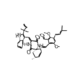 C=CC(C)(C)c1[nH]c2ccccc2c1/C=C1\NC(=O)[C@@]2(C[C@@H](C)C=C[C@H]2/C=C/c2c(OC)cc(CC=C(C)C)c(OC)c2C=O)NC1=O